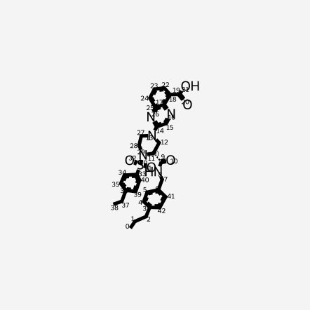 CCCc1ccc(CNC(=O)[C@H]2CN(c3cnc4c(C(=O)O)cccc4n3)CCN2S(=O)(=O)c2ccc(CC)cc2)cc1